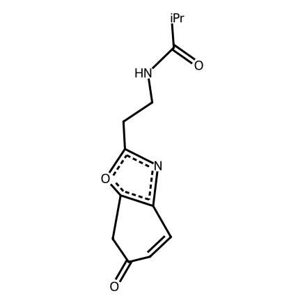 CC(C)C(=O)NCCc1nc2c(o1)CC(=O)C=C2